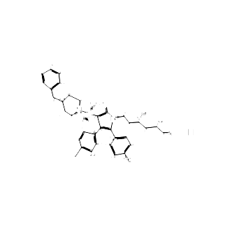 Cc1ccc(-c2c(S(=O)(=O)N3CCC(Cc4ccccc4)CC3)c(C(C)C)n(CC[C@@H](O)C[C@@H](O)CC(=O)O)c2-c2ccc(F)cc2)cc1